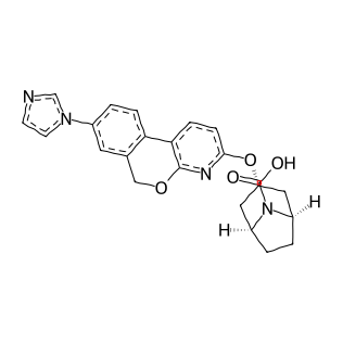 O=C(O)N1[C@@H]2CC[C@H]1C[C@H](Oc1ccc3c(n1)OCc1cc(-n4ccnc4)ccc1-3)C2